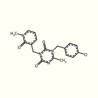 Cc1nc(=O)n(Cc2cccn(C)c2=O)c(=O)n1Cc1ccc(Cl)cc1